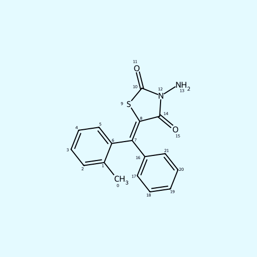 Cc1ccccc1/C(=C1\SC(=O)N(N)C1=O)c1ccccc1